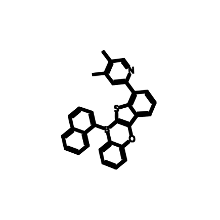 Cc1cnc(-c2cccc3c4c(sc23)B(c2cccc3ccccc23)c2ccccc2O4)cc1C